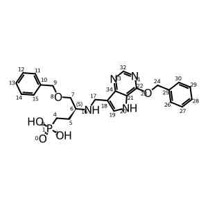 O=P(O)(O)CC[C@@H](COCc1ccccc1)NCc1c[nH]c2c(OCc3ccccc3)ncnc12